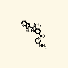 CCn1c(-c2nc3cc(C(=O)N4CCC[C@@H](N)C4)ccc3n2C)cc2cccnc21